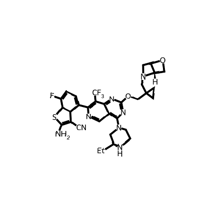 CCC1CN(c2nc(OCC3(CN4CC5OC[C@@H]54)CC3)nc3c(C(F)(F)F)c(C4=CC=C(F)C5SC(N)=C(C#N)C45)ncc23)CCN1